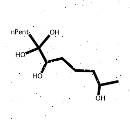 CCCCCC(O)(O)C(O)CCCC(C)O